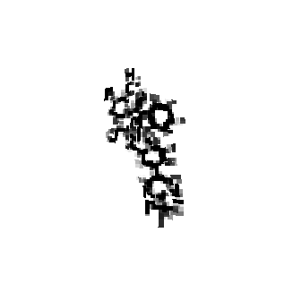 C[C@H]1[C@H](F)C[C@@H](C(=O)NCc2cc(-c3cnc(C(F)(F)F)nc3)ccn2)N1S(=O)(=O)c1ccccc1